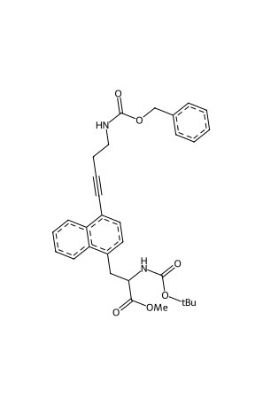 COC(=O)C(Cc1ccc(C#CCCNC(=O)OCc2ccccc2)c2ccccc12)NC(=O)OC(C)(C)C